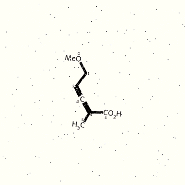 COCC=C=C(C)C(=O)O